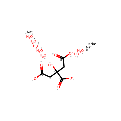 O.O.O.O.O.O.O.O=C([O-])CC(O)(CC(=O)[O-])C(=O)[O-].[Na+].[Na+].[Na+]